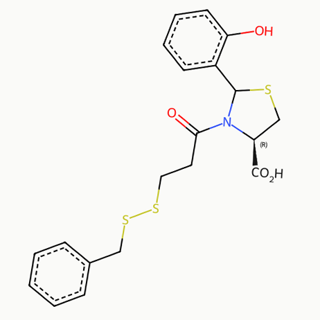 O=C(O)[C@@H]1CSC(c2ccccc2O)N1C(=O)CCSSCc1ccccc1